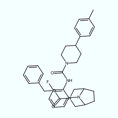 Cc1ccc(C2CCN(C(=O)Nc3c(F)cccc3N3C4CCC3CN(C(=O)OCc3ccccc3)C4)CC2)cc1